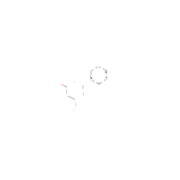 CCOC1=CC(=O)CC(c2ccc(C(F)(F)F)cc2)C1